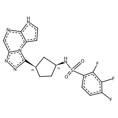 O=S(=O)(N[C@H]1CC[C@@H](c2nnc3cnc4[nH]ccc4n23)C1)c1ccc(F)c(F)c1F